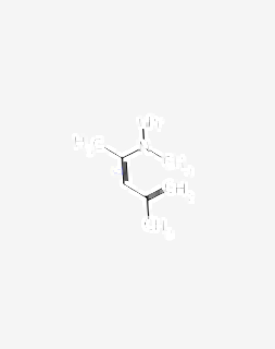 C=C(C)/C=C(/C)N(C)CCC